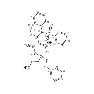 CCCC1(CCc2ccccc2)CC(O)=C(C(CC)N(c2ccccc2)S(=O)(=O)c2ccccc2)C(=O)O1